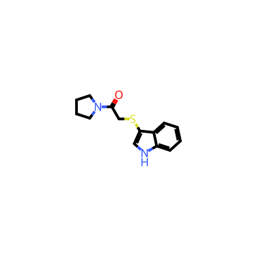 O=C(CSc1c[nH]c2ccccc12)N1CCCC1